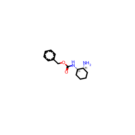 N[C@@H]1CCCC[C@@H]1NC(=O)OCc1ccccc1